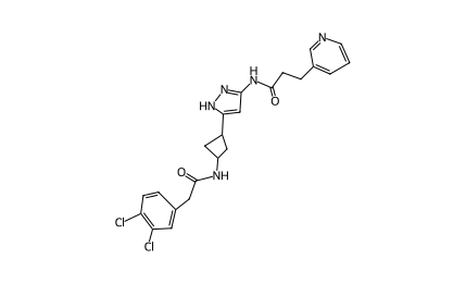 O=C(CCc1cccnc1)Nc1cc(C2CC(NC(=O)Cc3ccc(Cl)c(Cl)c3)C2)[nH]n1